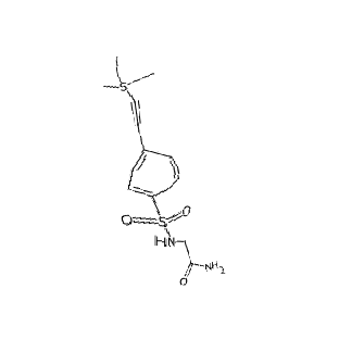 CS(C)(C)C#Cc1ccc(S(=O)(=O)NCC(N)=O)cc1